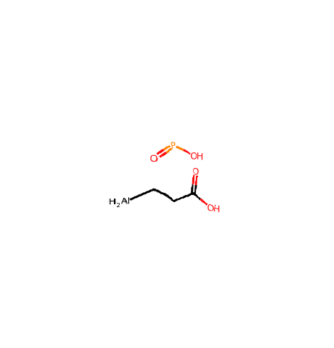 O=C(O)C[CH2][AlH2].O=PO